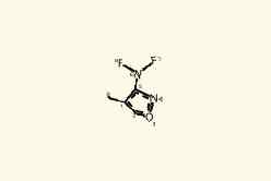 Cc1conc1N(F)F